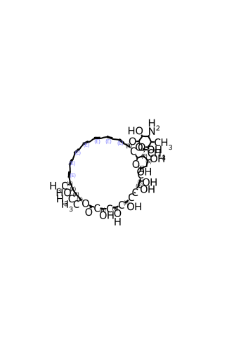 CC1OC(O[C@H]2/C=C/C=C/C=C/C=C/C=C/C=C/C=C/[C@H](C)[C@@H](O)[C@@H](C)[C@H](C)OC(=O)C[C@H](O)C[C@H](O)C[C@H](O)CC[C@@H](O)[C@H](O)C[C@]3(O)C[C@H](O)[C@@H](C(=O)O)C(C2)O3)C(O)C(N)C1C